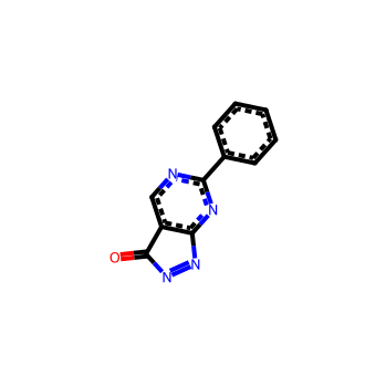 O=C1N=Nc2nc(-c3ccccc3)ncc21